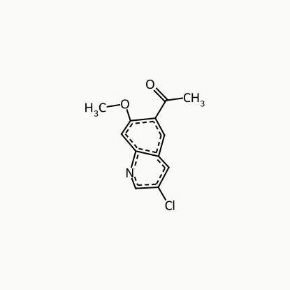 COc1cc2ncc(Cl)cc2cc1C(C)=O